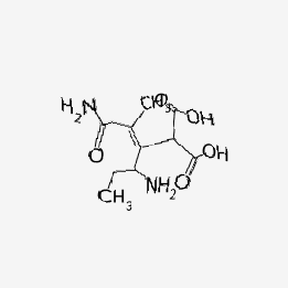 CCC(N)C(=C(C)C(N)=O)C(C(=O)O)C(=O)O